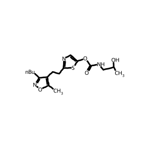 CCCCc1noc(C)c1CCc1ncc(OC(=O)NCC(C)O)s1